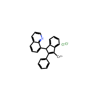 [Cl-].[Cl-].[Cr+2][C]1=C(c2ccccc2)C(c2cccc3cccnc23)c2ccccc21